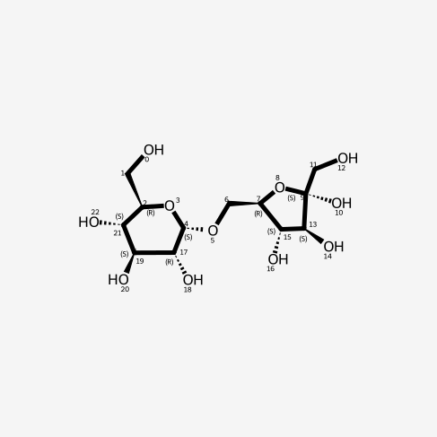 OC[C@H]1O[C@H](OC[C@H]2O[C@@](O)(CO)[C@@H](O)[C@@H]2O)[C@H](O)[C@@H](O)[C@@H]1O